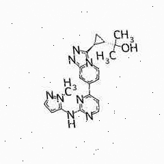 Cn1nccc1Nc1nccc(-c2ccn3c([C@H]4C[C@@H]4C(C)(C)O)nnc3c2)n1